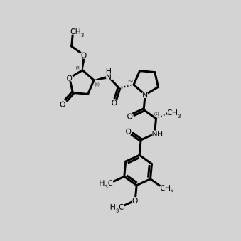 CCO[C@@H]1OC(=O)C[C@@H]1NC(=O)[C@@H]1CCCN1C(=O)[C@H](C)NC(=O)c1cc(C)c(OC)c(C)c1